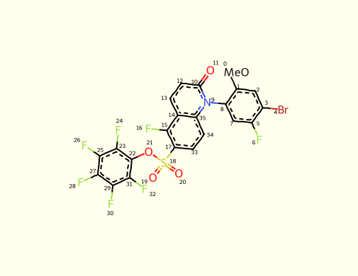 COc1cc(Br)c(F)cc1-n1c(=O)ccc2c(F)c(S(=O)(=O)Oc3c(F)c(F)c(F)c(F)c3F)ccc21